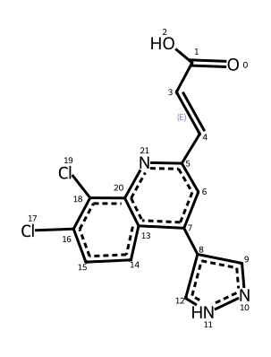 O=C(O)/C=C/c1cc(-c2cn[nH]c2)c2ccc(Cl)c(Cl)c2n1